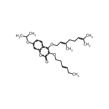 CC/C=C/CCOc1c(OC/C=C(\C)CCC=C(C)C)c2ccc(OC(C)C)cc2oc1=O